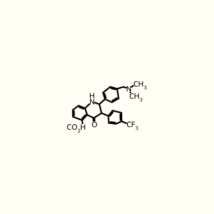 CN(C)Cc1ccc(C2Nc3cccc(C(=O)O)c3C(=O)C2c2ccc(C(F)(F)F)cc2)cc1